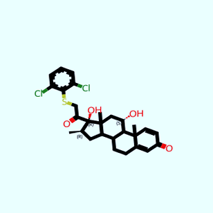 C[C@@H]1CC2C3CCC4=CC(=O)C=CC4(C)C3[C@@H](O)CC2(C)[C@@]1(O)C(=O)CSc1c(Cl)cccc1Cl